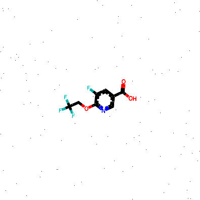 O=C(O)c1cnc(OCC(F)(F)F)c(F)c1